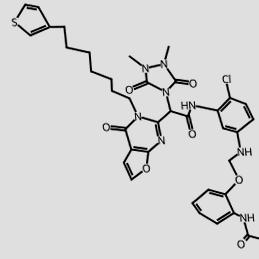 CC(=O)Nc1ccccc1OCNc1ccc(Cl)c(NC(=O)C(c2nc3occc3c(=O)n2CCCCCCCc2ccsc2)n2c(=O)n(C)n(C)c2=O)c1